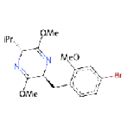 COC1=N[C@H](C(C)C)C(OC)=N[C@H]1Cc1ccc(Br)cc1OC